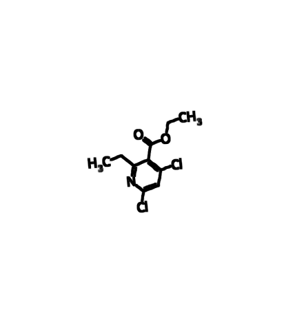 CCOC(=O)c1c(Cl)cc(Cl)nc1CC